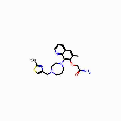 Cc1cc2cccnc2c(N2CCCN(Cc3csc(C(C)(C)C)n3)CC2)c1OCC(N)=O